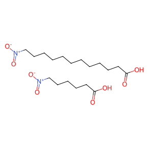 O=C(O)CCCCCCCCCCC[N+](=O)[O-].O=C(O)CCCCC[N+](=O)[O-]